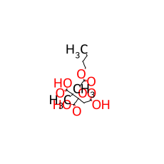 CCCCOC(=O)COC(CC(=O)O)(C(=O)O)C(C)(C)C(=O)O